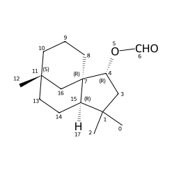 CC1(C)C[C@@H](OC=O)[C@@]23CCC[C@@](C)(CC[C@H]12)C3